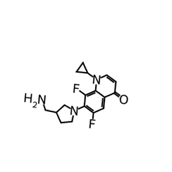 NCC1CCN(c2c(F)cc3c(=O)ccn(C4CC4)c3c2F)C1